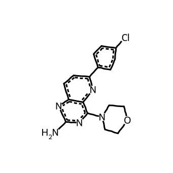 Nc1nc(N2CCOCC2)c2nc(-c3ccc(Cl)cc3)ccc2n1